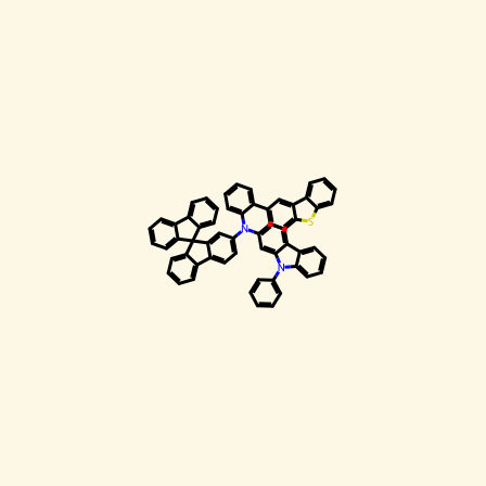 c1ccc(-n2c3ccccc3c3ccc(N(c4ccc5c(c4)C4(c6ccccc6-c6ccccc64)c4ccccc4-5)c4ccccc4-c4ccc5sc6ccccc6c5c4)cc32)cc1